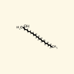 [CH2]C(O)CCCCCCCCCCCCCCCCCCCC